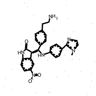 Cn1ccnc1-c1ccc(NC(=C2C(=O)Nc3ccc([N+](=O)[O-])cc32)c2ccc(CCN)cc2)cc1